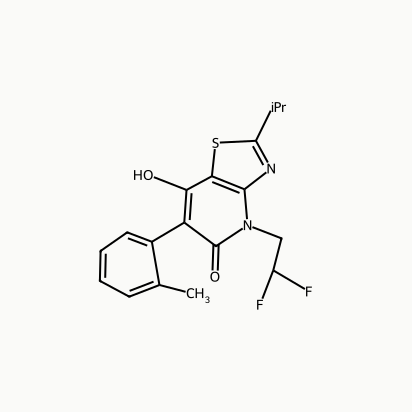 Cc1ccccc1-c1c(O)c2sc(C(C)C)nc2n(CC(F)F)c1=O